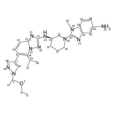 CCOC(C)n1cc(-c2ccc3nc(N[C@@H]4CCCN(c5nc6cc(N)ccc6n5C)C4)nn3c2C(C)C)cn1